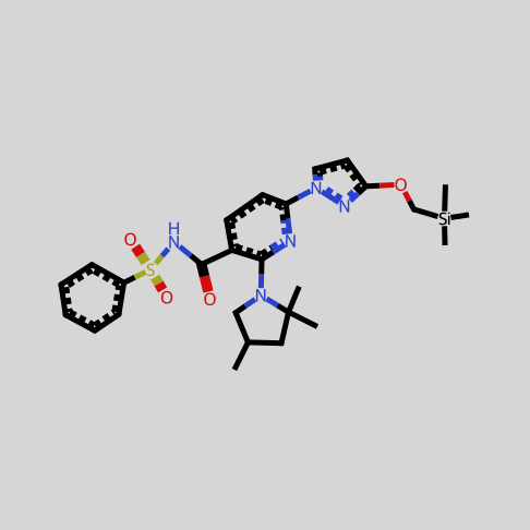 CC1CN(c2nc(-n3ccc(OC[Si](C)(C)C)n3)ccc2C(=O)NS(=O)(=O)c2ccccc2)C(C)(C)C1